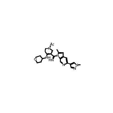 CC(=O)N1CCC(NC2CCOCC2)=C(C(=N)n2c(C)cc3cc(-c4cnn(C)c4)ncc32)C1